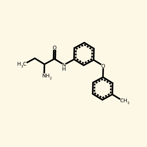 CCC(N)C(=O)Nc1cccc(Oc2cccc(C)c2)c1